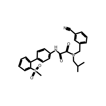 CC(C)CN(Cc1cccc(C#N)c1)C(=O)C(=O)Nc1ccc(-c2ccccc2S(C)(=O)=O)cc1